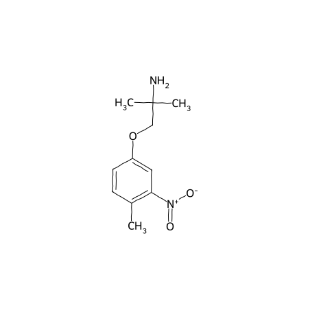 Cc1ccc(OCC(C)(C)N)cc1[N+](=O)[O-]